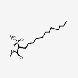 CCCCCCCCCCCCC(C(=O)OC)S(=O)(=O)O